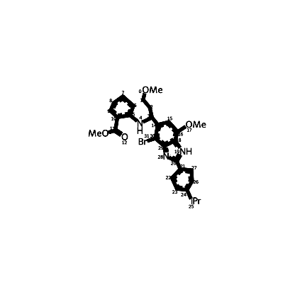 COCCC(Nc1ccccc1C(=O)OC)c1cc(OC)c2[nH]c(-c3ccc(C(C)C)cc3)nc2c1Br